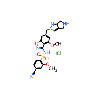 COc1cc(C#N)ccc1S(=O)(=O)Nc1noc2cc(Cn3cc4c(n3)CNC4)cc(OC)c12.Cl